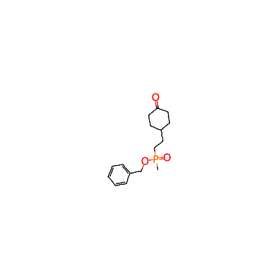 CP(=O)(CCC1CCC(=O)CC1)OCc1ccccc1